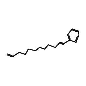 C=CCCCCCCCCC=Cc1ccccc1